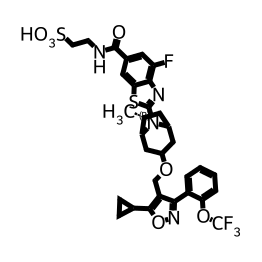 C[C@@H]1CC2CC(OCc3c(-c4ccccc4OC(F)(F)F)noc3C3CC3)CC1N2c1nc2c(F)cc(C(=O)NCCS(=O)(=O)O)cc2s1